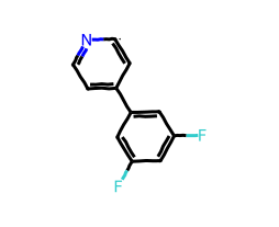 Fc1cc(F)cc(-c2c[c]ncc2)c1